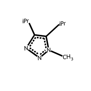 CC(C)c1nnn(C)c1C(C)C